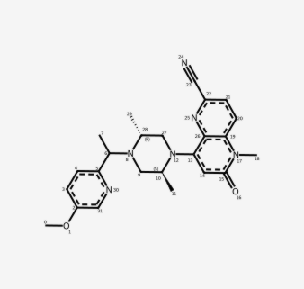 COc1ccc(C(C)N2C[C@H](C)N(c3cc(=O)n(C)c4ccc(C#N)nc34)C[C@H]2C)nc1